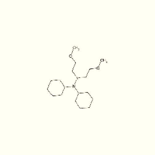 COCCN(CCOC)N(C1CCCCC1)C1CCCCC1